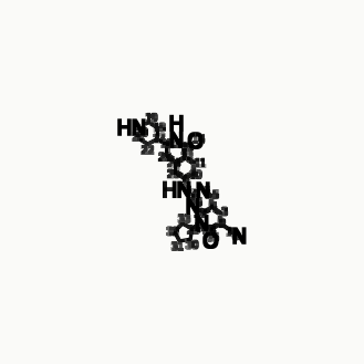 N#Cc1cc2cnc(Nc3ccc4c(=O)[nH]c(C5CCNCC5)cc4c3)nc2n(C2CCCC2)c1=O